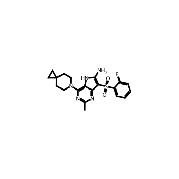 Cc1nc(N2CCC3(CC2)CC3)c2[nH]c(N)c(S(=O)(=O)c3ccccc3F)c2n1